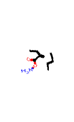 C=C(CC)C(=O)ON.CCCC